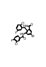 O=C(Nc1cc(Br)cc2c1C(c1cc(F)ccc1Cl)NC2=O)c1ccc(F)c(Cl)c1